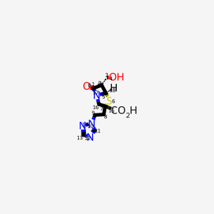 O=C1[C@H](CO)[C@H]2SC(CCn3cncn3)(C(=O)O)CN12